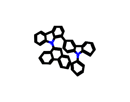 c1ccc(-n2c3ccccc3c3cc(-c4cccc5c6ccccc6n(-c6cc7ccccc7c7ccccc67)c45)ccc32)cc1